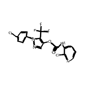 O=C(Nc1cccnc1Cl)Oc1cnn(-c2ccc(Cl)cc2)c1C(F)(F)F